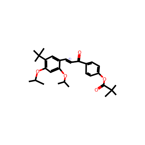 CC(C)Oc1cc(OC(C)C)c(C(C)(C)C)cc1/C=C/C(=O)c1ccc(OC(=O)C(C)(C)C)cc1